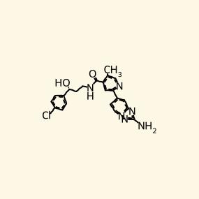 Cc1cnc(-c2ccn3nc(N)nc3c2)cc1C(=O)NCC[C@@H](O)c1ccc(Cl)cc1